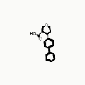 O=C(O)[C@H]1COCC[C@H]1c1ccc(-c2ccccc2)cc1